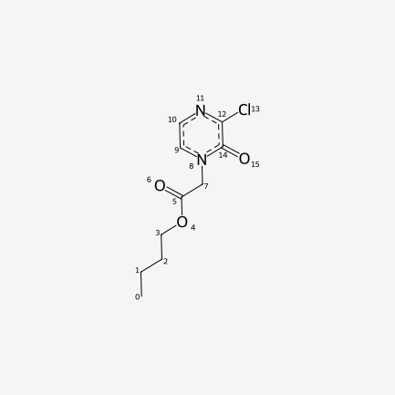 CCCCOC(=O)Cn1ccnc(Cl)c1=O